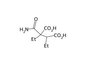 CCC(C(=O)O)C(CC)(C(N)=O)C(=O)O